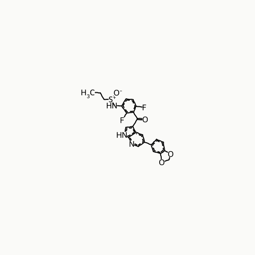 CCC[S+]([O-])Nc1ccc(F)c(C(=O)c2c[nH]c3ncc(-c4ccc5c(c4)OCO5)cc23)c1F